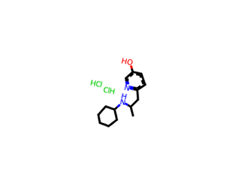 CC(Cc1ccc(O)cn1)NC1CCCCC1.Cl.Cl